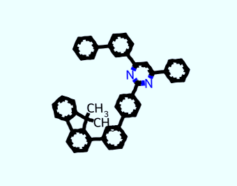 CC1(C)c2ccccc2-c2cccc(-c3cccc(-c4ccc(-c5nc(-c6ccccc6)cc(-c6cccc(-c7ccccc7)c6)n5)cc4)c3)c21